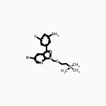 C[Si](C)(C)CCOCn1nc(-c2cc(N)cc(F)c2)c2cc(Br)cnc21